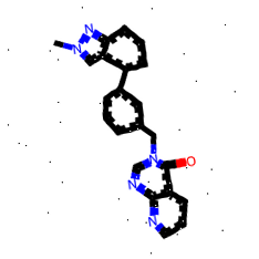 Cn1cc2c(-c3cccc(Cn4cnc5ncccc5c4=O)c3)cccc2n1